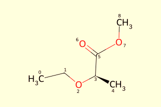 CCO[C@H](C)C(=O)OC